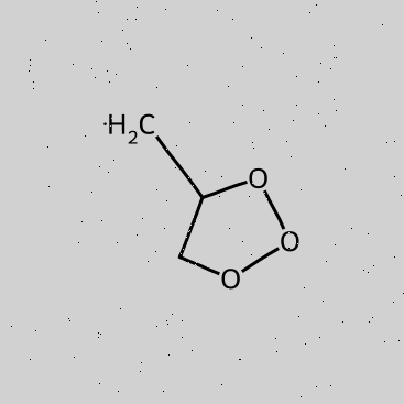 [CH2]C1COOO1